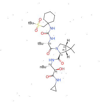 CCCC[C@H](NC(=O)[C@@H]1[C@@H]2[C@H](CN1C(=O)[C@@H](NC(=O)NC1(CS(=O)(=O)C(C)(C)C)CCCCC1)C(C)(C)C)C2(C)C)[C@@H](O)C(=O)NC1CC1